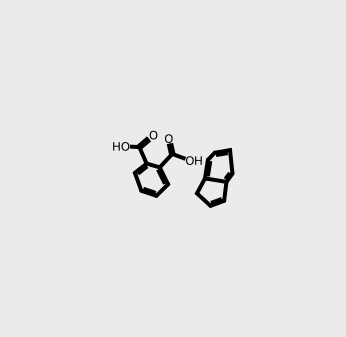 C1=Cc2ccccc2C1.O=C(O)c1ccccc1C(=O)O